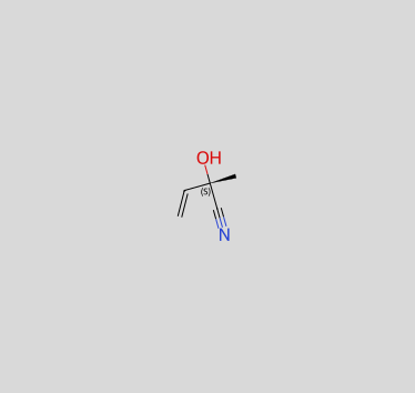 C=C[C@](C)(O)C#N